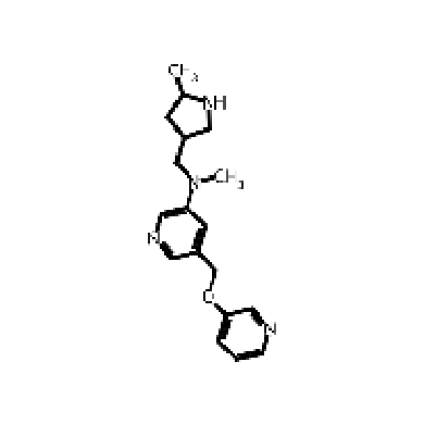 CC1CC(CN(C)c2cncc(COc3cccnc3)c2)CN1